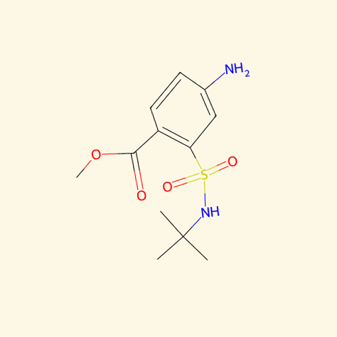 COC(=O)c1ccc(N)cc1S(=O)(=O)NC(C)(C)C